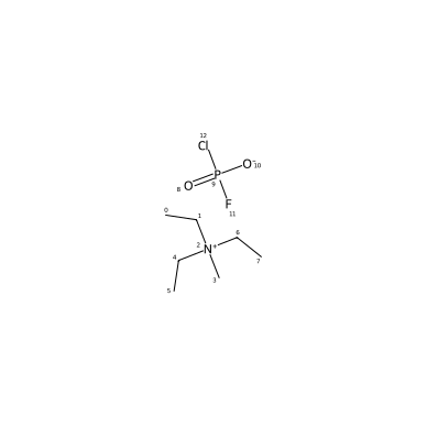 CC[N+](C)(CC)CC.O=P([O-])(F)Cl